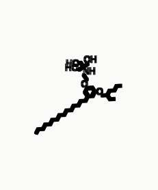 CCCCCCCCCCCCCCCc1cc(OCCNC(CO)(CO)CO)cc(OCC(CC)CCCC)c1